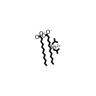 CC(C)[CH2][Sn+2][CH2]C(C)C.CCCCCCCCCCCC(=O)[O-].CCCCCCCCCCCC(=O)[O-]